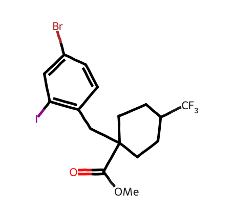 COC(=O)C1(Cc2ccc(Br)cc2I)CCC(C(F)(F)F)CC1